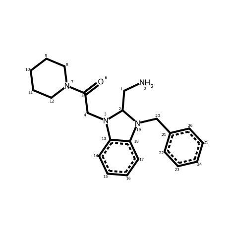 NCC1N(CC(=O)N2CCCCC2)c2ccccc2N1Cc1ccccc1